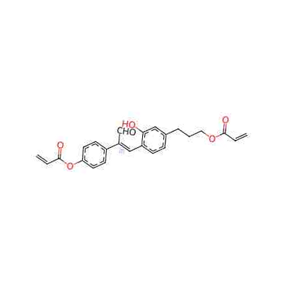 C=CC(=O)OCCCc1ccc(/C=C(\C=O)c2ccc(OC(=O)C=C)cc2)c(O)c1